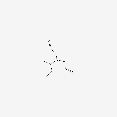 C=CCN(CC=C)C(C)CC